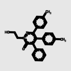 Cc1ccc(-c2nn(CCO)c(=O)c(-c3ccccc3)c2-c2ccc(C)cc2)cc1